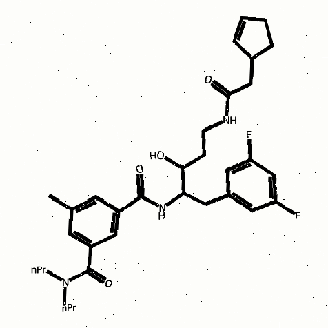 CCCN(CCC)C(=O)c1cc(C)cc(C(=O)NC(Cc2cc(F)cc(F)c2)C(O)CCNC(=O)CC2C=CCC2)c1